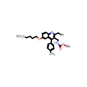 CCOC(=O)CCCCOc1ccc2nc(CC(C)C)c(CNC(=O)OC(C)(C)C)c(-c3ccc(C)cc3)c2c1